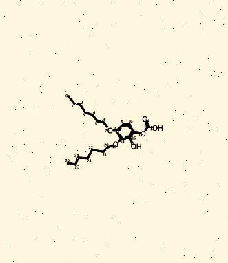 CCCCCCCOc1ccc(OC(=O)O)c(O)c1OCCCCCCC